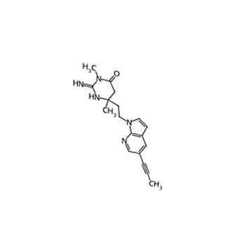 CC#Cc1cnc2c(ccn2CCC2(C)CC(=O)N(C)C(=N)N2)c1